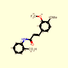 COc1ccc(/C=C/C(=O)Nc2ccccc2C(=O)O)cc1OC(F)(F)F